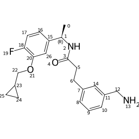 C[C@@H](NC(=O)CCc1cccc(CN)c1)c1ccc(F)c(OCC2CC2)c1